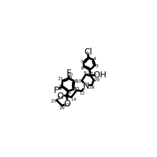 OC1(c2ccc(Cl)cc2)CCN(CCCC2(c3ccc(F)cc3F)OCCO2)CC1